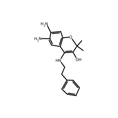 CC1(C)Oc2cc(N)c(N)cc2C(NCCc2ccccc2)=C1O